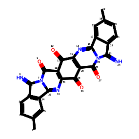 Cc1ccc2c(=N)n3c(=O)c4c(=O)c5nc6c7cc(C)ccc7c(=N)n6c(=O)c5c(=O)c4nc3c2c1